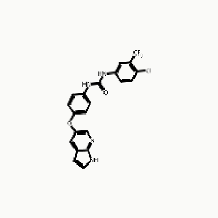 O=C(Nc1ccc(Oc2cnc3[nH]ccc3c2)cc1)Nc1ccc(Cl)c(C(F)(F)F)c1